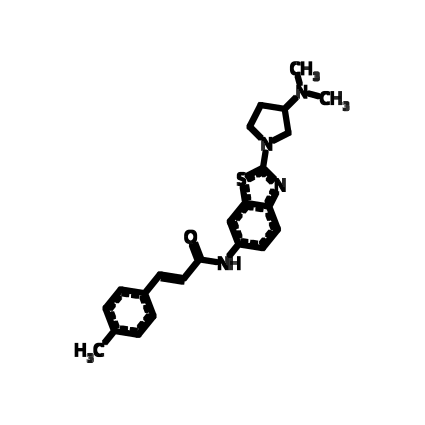 Cc1ccc(C=CC(=O)Nc2ccc3nc(N4CCC(N(C)C)C4)sc3c2)cc1